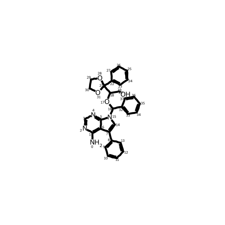 Nc1ncnc2c1c(-c1ccccc1)cn2C(OC(CO)C1(c2ccccc2)OCCO1)c1ccccc1